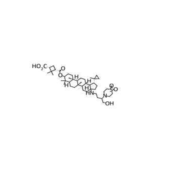 CC1([C@@H]2CC[C@]3(NCCC(CO)N4CCS(=O)(=O)CC4)CC[C@]4(C)[C@H](CC[C@@H]5[C@@]6(C)CC[C@H](OC(=O)[C@H]7C[C@@H](C(=O)O)C7(C)C)C(C)(C)[C@@H]6CC[C@]54C)[C@@H]23)CC1